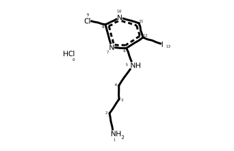 Cl.NCCCNc1nc(Cl)ncc1I